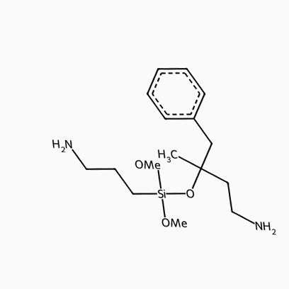 CO[Si](CCCN)(OC)OC(C)(CCN)Cc1ccccc1